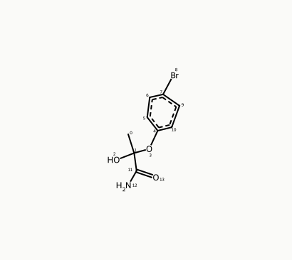 CC(O)(Oc1ccc(Br)cc1)C(N)=O